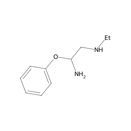 CCNCC(N)Oc1ccccc1